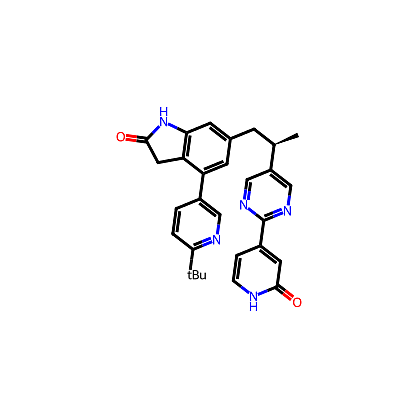 C[C@H](Cc1cc2c(c(-c3ccc(C(C)(C)C)nc3)c1)CC(=O)N2)c1cnc(-c2cc[nH]c(=O)c2)nc1